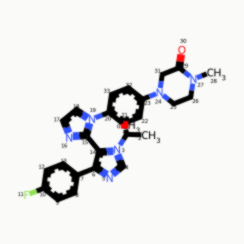 CC(C)n1cnc(-c2ccc(F)cc2)c1-c1nccn1-c1ccc(N2CCN(C)C(=O)C2)cc1